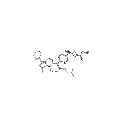 CC(C)(C)OC(=O)N1CC(Nc2ccc(C3=C(OCC(F)F)CCCc4c3ccc3c4c(F)nn3C3CCCCO3)nc2)C1